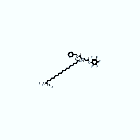 C=C(C)CCCCCCCCCCCCCCCCC(=O)N[C@@H](CCC(=O)Oc1c(F)c(F)c(F)c(F)c1F)C(=O)OCc1ccccc1